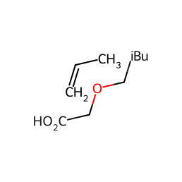 C=CC.CCC(C)COCC(=O)O